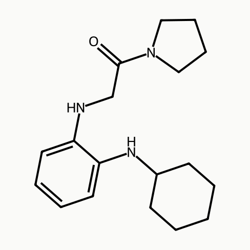 O=C(CNc1ccccc1NC1CCCCC1)N1CCCC1